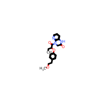 CCC(Oc1ccc(CCOC)cc1)C(=O)N1CC(=O)Nc2cccnc21